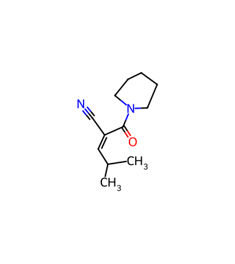 CC(C)/C=C(/C#N)C(=O)N1CCCCC1